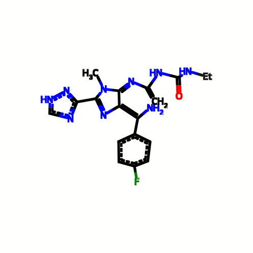 C=C(/N=C1\C(=C(/N)c2ccc(F)cc2)N=C(c2nc[nH]n2)N1C)NC(=O)NCC